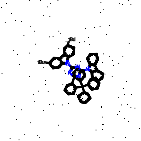 CC(C)(C)c1ccc2c(c1)c1cc(C(C)(C)C)ccc1n2-c1nc(-c2ccccc2C(c2ccccc2)(c2ccccc2)c2ccccc2)nc(-n2c3ccccc3c3ccccc32)n1